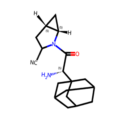 N#CC1C[C@@H]2C[C@@H]2N1C(=O)[C@@H](N)C12CC3CC(CC(C3)C1)C2